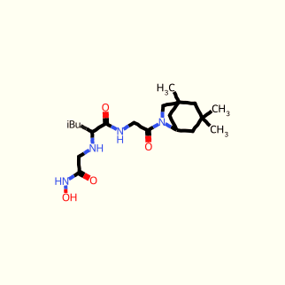 CCC(C)C(NCC(=O)NO)C(=O)NCC(=O)N1CC2(C)CC1CC(C)(C)C2